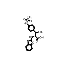 CC(c1ccc(NS(C)(=O)=O)cc1)[C@H](Nc1nc2ccccc2o1)C(=O)O